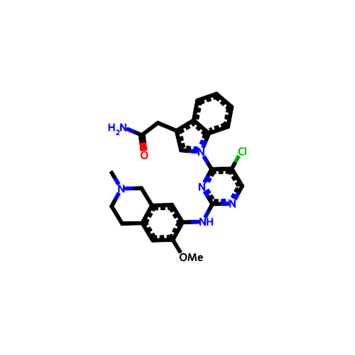 COc1cc2c(cc1Nc1ncc(Cl)c(-n3cc(CC(N)=O)c4ccccc43)n1)CN(C)CC2